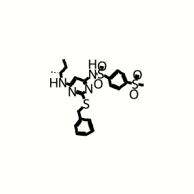 CC[C@@H](C)Nc1cc(NS(=O)(=O)c2ccc(S(C)(=O)=O)cc2)nc(SCc2ccccc2)n1